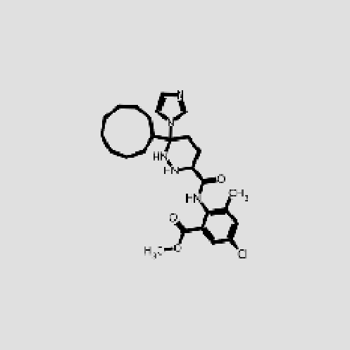 COC(=O)c1cc(Cl)cc(C)c1NC(=O)C1CCC(C2CCCCCCCC2)(n2ccnc2)NN1